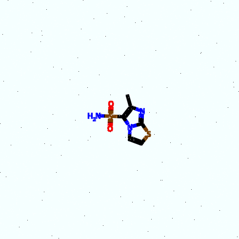 Cc1nc2sccn2c1S(N)(=O)=O